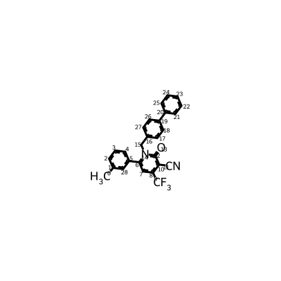 Cc1cccc(-c2cc(C(F)(F)F)c(C#N)c(=O)n2Cc2ccc(-c3ccccc3)cc2)c1